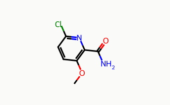 COc1ccc(Cl)nc1C(N)=O